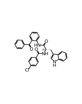 O=C(N[C@@H](Cc1c[nH]c2ccccc12)C(=O)Nc1ccccc1C(=O)c1ccccc1)c1ccc(Cl)cc1